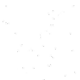 O=C(NCCC1OCCO1)C(Cl)COCc1ccccc1